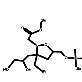 CC(C)CC1(CC(O)CO)CC(CO[Si](C)(C)C(C)(C)C)ON1CC(=O)OC(C)(C)C